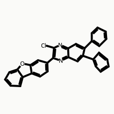 Clc1nc2cc(-c3ccccc3)c(-c3ccccc3)cc2nc1-c1ccc2c(c1)oc1ccccc12